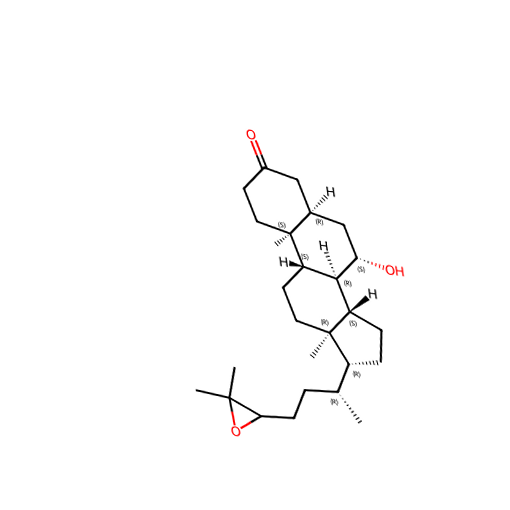 C[C@H](CCC1OC1(C)C)[C@H]1CC[C@H]2[C@@H]3[C@@H](O)C[C@@H]4CC(=O)CC[C@]4(C)[C@H]3CC[C@]12C